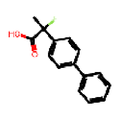 CC(F)(C(=O)O)c1ccc(-c2ccccc2)cc1